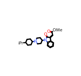 COC(=O)/C=C1\C(=O)N(C2CCN(C3CCC(C(C)C)CC3)CC2)c2ccccc21